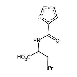 CC(C)CC(NC(=O)c1ccco1)C(=O)O